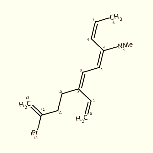 C=C\C(=C/C=C(\C=C/C)NC)CCC(=C)C(C)C